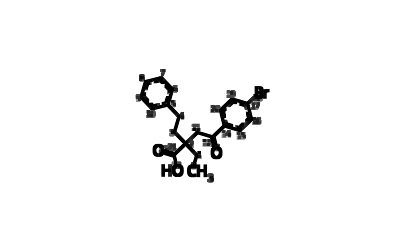 CCC(CCc1ccccc1)(CC(=O)c1ccc(Br)cc1)C(=O)O